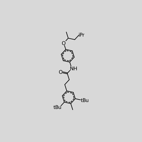 Cc1c(C(C)(C)C)cc(CCC(=O)Nc2ccc(OC(C)CC(C)C)cc2)cc1C(C)(C)C